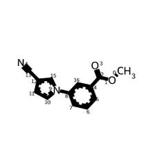 COC(=O)c1cccc(-n2ccc(C#N)c2)c1